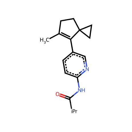 CC1=C(c2ccc(NC(=O)C(C)C)nc2)C2(CC1)CC2